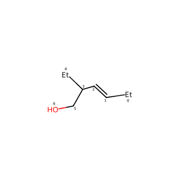 CCC=CC(CC)CO